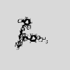 COc1ccc(CCC2(Cn3ccnc3)OCC(COCc3c(Cl)cccc3Cl)O2)cc1